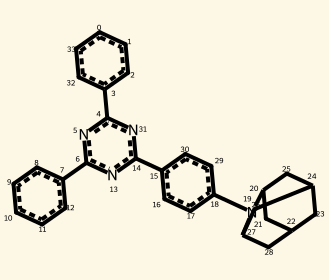 c1ccc(-c2nc(-c3ccccc3)nc(-c3ccc(N4C5CC6CC(C5)CC4C6)cc3)n2)cc1